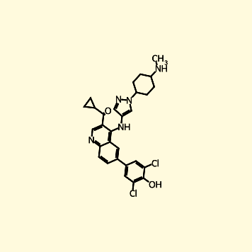 CNC1CCC(n2cc(Nc3c(C(=O)C4CC4)cnc4ccc(-c5cc(Cl)c(O)c(Cl)c5)cc34)cn2)CC1